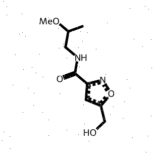 COC(C)CNC(=O)c1cc(CO)on1